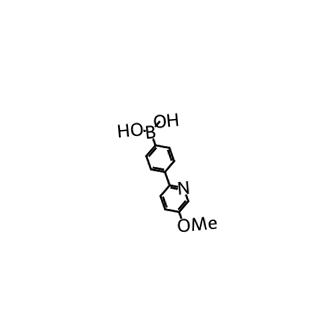 COc1ccc(-c2ccc(B(O)O)cc2)nc1